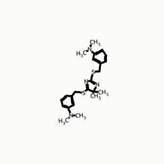 CN(C)c1cccc(CSC2=NC(C)(C)C(SCc3cccc(N(C)C)c3)=N2)c1